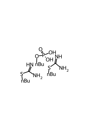 CCCCOP(=O)(O)O.CCCCSC(=N)N.CCCCSC(=N)N